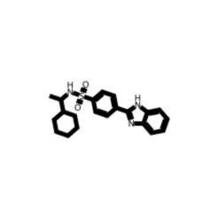 CC(NS(=O)(=O)c1ccc(-c2nc3ccccc3[nH]2)cc1)C1CCCCC1